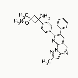 Cc1cc2ncc3cc(-c4ccccc4)c(-c4ccc([C@]5(N)C[C@](C)(ON)C5)cc4)nc3n2n1